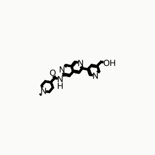 CN1CCC(C(=O)Nc2cc3cc(-c4cncc(CO)c4)ncc3cn2)CC1